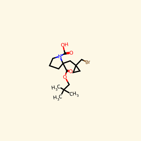 CC(C)(C)COC(=O)C1(CC2(CBr)CC2)CCCN1C(=O)O